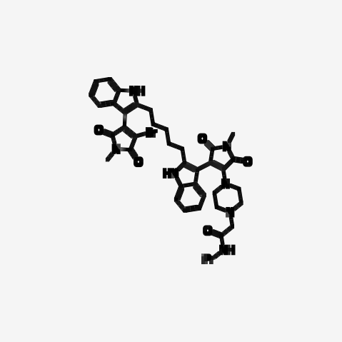 CC(C)NC(=O)CN1CCN(C2=C(c3c(CCCCCc4[nH]c5ccccc5c4C4=C(Br)C(=O)N(C)C4=O)[nH]c4ccccc34)C(=O)N(C)C2=O)CC1